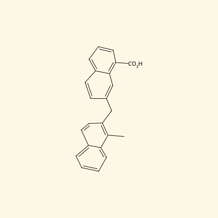 Cc1c(Cc2ccc3cccc(C(=O)O)c3c2)ccc2ccccc12